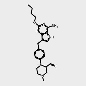 CCCCOc1nc(N)c2[nH]cc(Cc3ccc(N4CCN(C)CC4C=O)cc3)c2n1